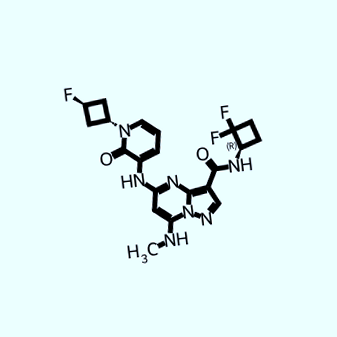 CNc1cc(Nc2cccn([C@H]3C[C@H](F)C3)c2=O)nc2c(C(=O)N[C@@H]3CCC3(F)F)cnn12